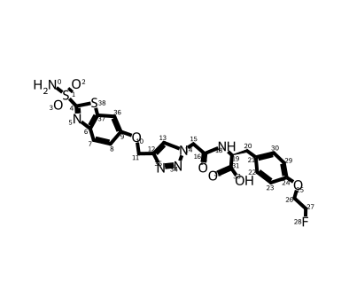 NS(=O)(=O)c1nc2ccc(OCc3cn(CC(=O)N[C@@H](Cc4ccc(OCCF)cc4)C(=O)O)nn3)cc2s1